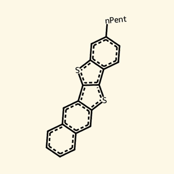 CCCCCc1ccc2c(c1)sc1c3cc4ccccc4cc3sc21